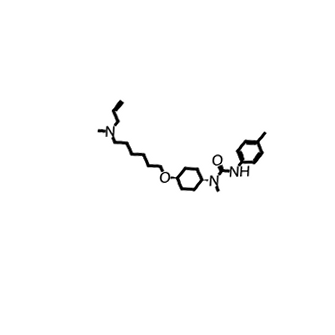 C=CCN(C)CCCCCCO[C@H]1CC[C@H](N(C)C(=O)Nc2ccc(C)cc2)CC1